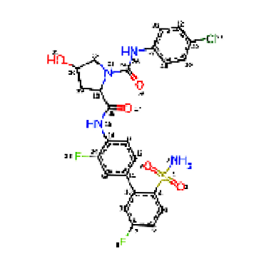 NS(=O)(=O)c1ccc(F)cc1-c1ccc(NC(=O)C2CC(O)CN2C(=O)Nc2ccc(Cl)cc2)c(F)c1